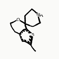 Cc1cc2c(s1)C1(CCNCC1)OCC2